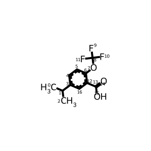 CC(C)c1ccc(OC(F)(F)F)c(C(=O)O)c1